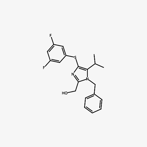 CC(C)c1c(Sc2cc(F)cc(F)c2)nc(CO)n1Cc1ccccc1